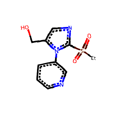 CCS(=O)(=O)c1ncc(CO)n1-c1cccnc1